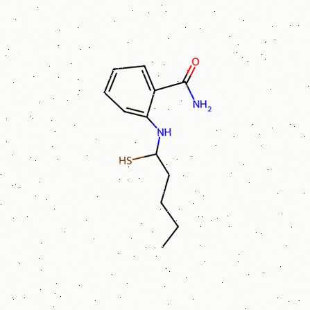 CCCCC(S)Nc1ccccc1C(N)=O